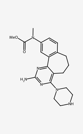 COC(=O)N(C)c1ccc2c(c1)-c1nc(N)nc(N3CCNCC3)c1CCC2